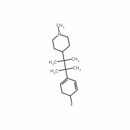 CN1CCC(C(C)(C)C(C)(C)C2=CCC(F)C=C2)CC1